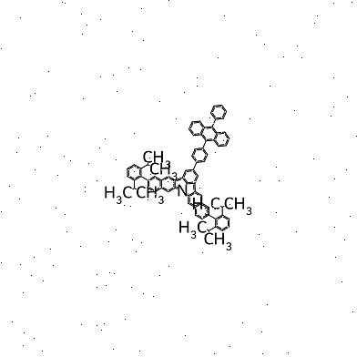 CC(C)c1cccc(C(C)C)c1-c1ccc2cc3c(cc2c1)c1cc(-c2ccc(-c4c5ccccc5c(-c5ccccc5)c5ccccc45)cc2)cc2c4cc5cc(-c6c(C(C)C)cccc6C(C)C)ccc5cc4n3c12